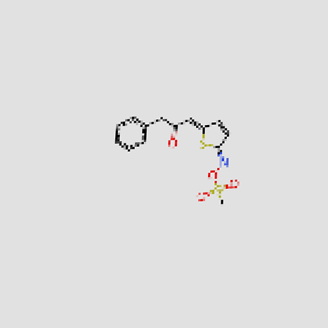 CS(=O)(=O)ON=C1C=CC(=CC(=O)Cc2ccccc2)S1